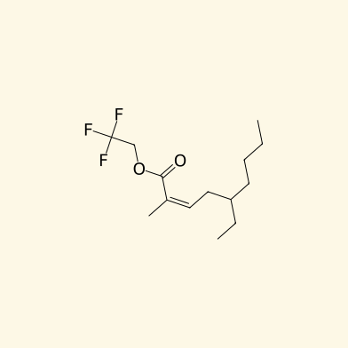 CCCCC(CC)CC=C(C)C(=O)OCC(F)(F)F